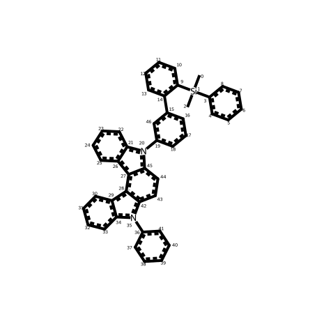 C[Si](C)(c1ccccc1)c1ccccc1-c1cccc(-n2c3ccccc3c3c4c5ccccc5n(-c5ccccc5)c4ccc32)c1